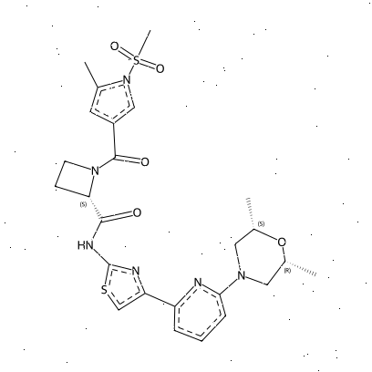 Cc1cc(C(=O)N2CC[C@H]2C(=O)Nc2nc(-c3cccc(N4C[C@@H](C)O[C@@H](C)C4)n3)cs2)cn1S(C)(=O)=O